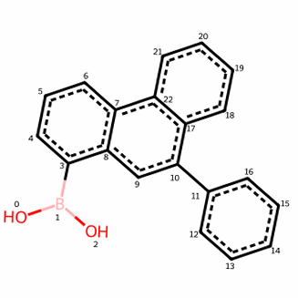 OB(O)c1cccc2c1cc(-c1ccccc1)c1ccccc12